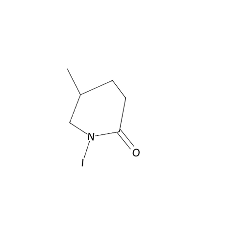 CC1CCC(=O)N(I)C1